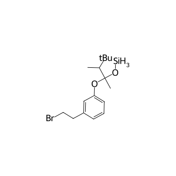 CC(C(C)(C)C)C(C)(O[SiH3])Oc1cccc(CCBr)c1